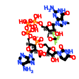 CO[C@@H]1[C@H](P(=O)([O-])OC[C@H]2O[C@@H](n3ccc(=O)[nH]c3=O)[C@H](O)[C@@H]2O)[C@@H](COP(=O)(O)OP(=O)(O)OP(=O)(O)OC[C@H]2O[C@@H](n3c[n+](C)c4c(=O)[nH]c(N)nc43)[C@H](O)[C@@H]2COC(F)(F)F)O[C@H]1n1cnc2c(N)ncnc21